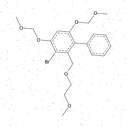 COCCOCc1c(Br)c(OCOC)cc(OCOC)c1-c1ccccc1